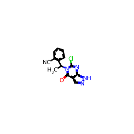 CC(c1ccccc1C#N)n1c(Cl)nc2[nH]ncc2c1=O